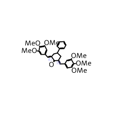 COc1cc(/C=C2\CC(c3ccccc3)C/C(=C\c3cc(OC)c(OC)c(OC)c3)C2=O)cc(OC)c1OC